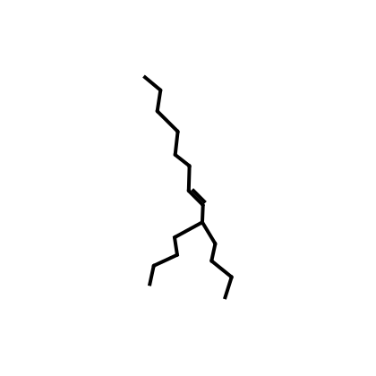 CCCCCCC=CC(CCCC)CCCC